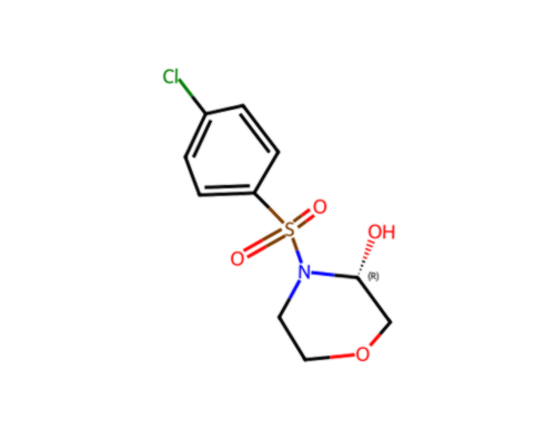 O=S(=O)(c1ccc(Cl)cc1)N1CCOC[C@H]1O